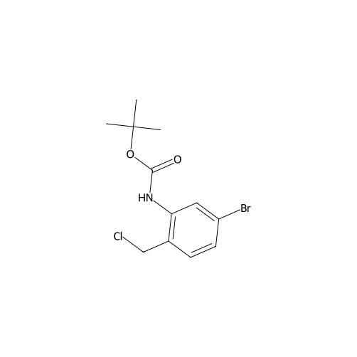 CC(C)(C)OC(=O)Nc1cc(Br)ccc1CCl